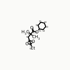 CCC12OC1(CC(C)(C)C(=O)OC1CCCCC1)O2